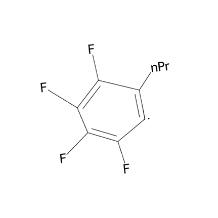 CCCc1[c]c(F)c(F)c(F)c1F